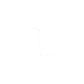 CCCCCCCCC/C=C\C=CC=CC=CC=CC=CC(N)=O